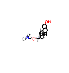 CCN(CC)CCOC/C(C)=C1/CC[C@H]2[C@@H]3CCc4cc(O)ccc4[C@H]3CC[C@]12C